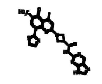 Cc1cc(N2CC(C(=O)Nc3ncc4nc[nH]c4n3)C2)nc2c1c(=O)c(C(=O)O)cn2-c1nccs1